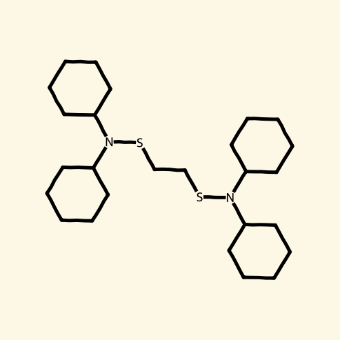 C1CCC(N(SCCSN(C2CCCCC2)C2CCCCC2)C2CCCCC2)CC1